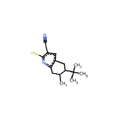 CC1Cc2nc(S)c(C#N)cc2CC1C(C)(C)C